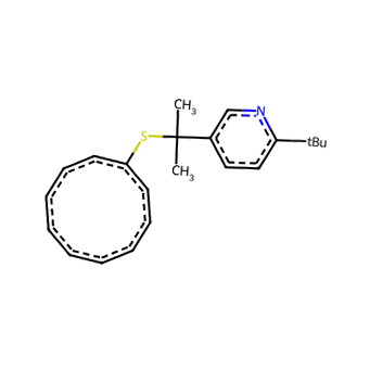 CC(C)(C)c1ccc(C(C)(C)Sc2ccccccccc2)cn1